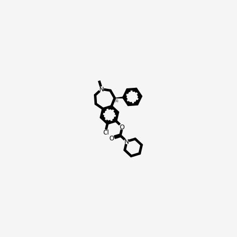 CN1CCc2cc(Cl)c(OC(=O)N3CCCCC3)cc2[C@H](c2ccccc2)C1